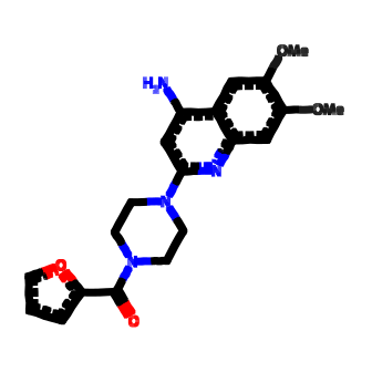 COc1cc2nc(N3CCN(C(=O)c4ccco4)CC3)cc(N)c2cc1OC